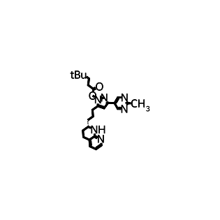 Cc1ncc(-c2cc(CCC[C@H]3CCc4cccnc4N3)n(OC(=O)CCC(C)(C)C)n2)cn1